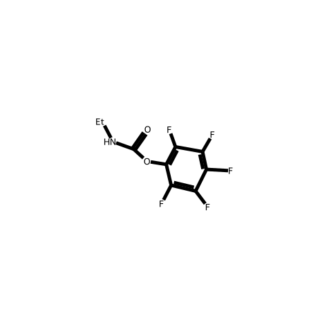 CCNC(=O)Oc1c(F)c(F)c(F)c(F)c1F